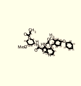 C=CC(=O)N1C[C@H](NC(=O)c2sc3nccc4c3c2NC(=O)N4c2ccc(Oc3ccccc3)cc2C)C[C@H](OC)C1